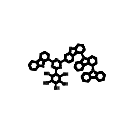 Oc1c(O)c(O)c(-c2nc(-c3ccc4c(c3)oc3cccc(-n5c6ccccc6c6c(-n7c8ccccc8c8ccccc87)cccc65)c34)nc(-c3cccc4c3sc3ccccc34)n2)c(O)c1O